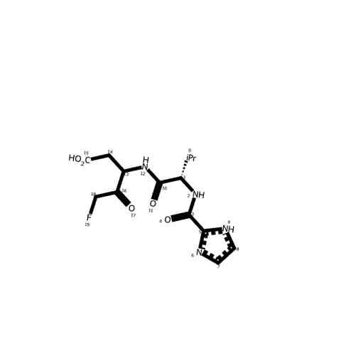 CC(C)[C@H](NC(=O)c1ncc[nH]1)C(=O)NC(CC(=O)O)C(=O)CF